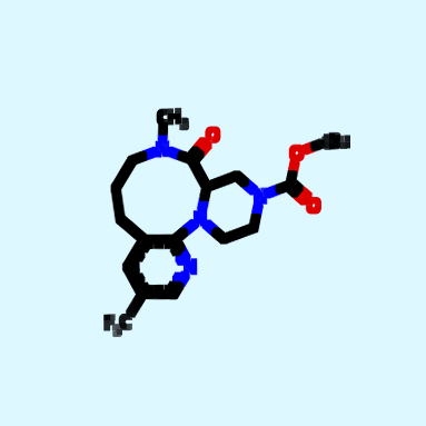 CN1CCCc2cc(C(F)(F)F)cnc2N2CCN(C(=O)OC(C)(C)C)CC2C1=O